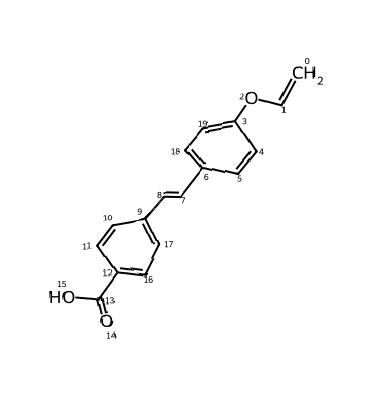 C=COc1ccc(/C=C/c2ccc(C(=O)O)cc2)cc1